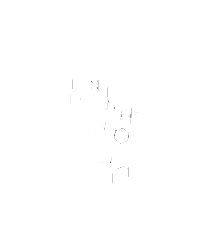 CC(CC1NC(C)C1[S+]([O-])c1cc(C2C=C(F)C(F)=C(F)C2)ccc1Cl)CN(C)C